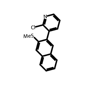 CSc1cc2ccccc2cc1-c1cccnc1Cl